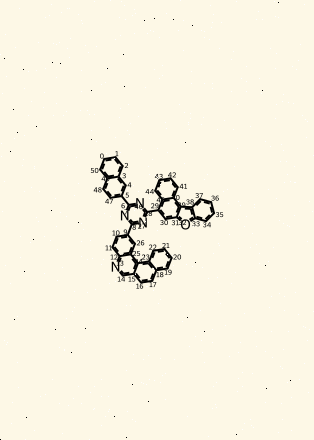 c1ccc2cc(-c3nc(-c4ccc5ncc6ccc7ccccc7c6c5c4)nc(-c4cc5oc6ccccc6c5c5ccccc45)n3)ccc2c1